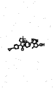 C[C@@H]1C[C@H](O)c2ncnc(N3CCN(C(=O)C(c4ccc(C5CC5)cc4)C4CCC(C)(C)N4)CC3)c21